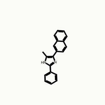 Cc1[nH]c(-c2ccccc2)nc1-c1ccc2ccccc2c1